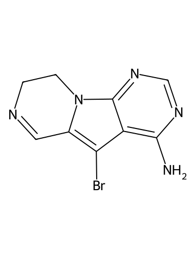 Nc1ncnc2c1c(Br)c1n2CCN=C1